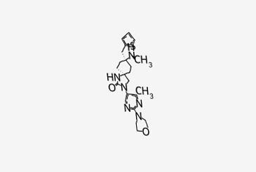 CN[C@]1(Cc2cccs2)CC[C@]2(CC1)CN(c1cnc(N3CCOCC3)nc1C)C(=O)N2